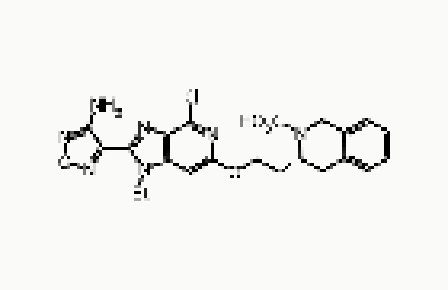 CCn1c(-c2nonc2N)nc2c(Cl)nc(OCC[C@H]3Cc4ccccc4CN3C(=O)O)cc21